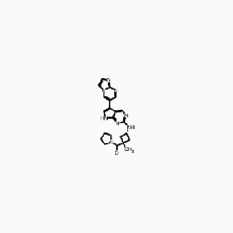 C[C@]1(C(=O)N2CCCC2)C[C@@H](Nc2ncc3c(-c4cnc5nccn5c4)c[nH]c3n2)C1